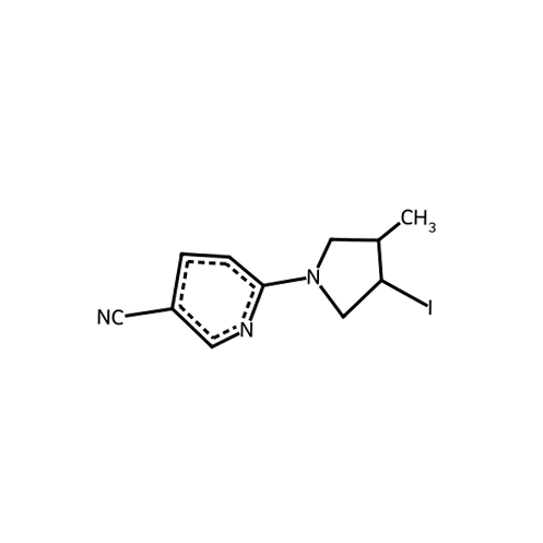 CC1CN(c2ccc(C#N)cn2)CC1I